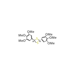 COc1cc([C@@H]2SC[C@@H](c3cc(OC)c(OC)c(OC)c3)S2)cc(OC)c1OC